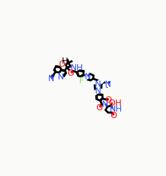 CN(C)C[C@H]1CN(c2ccc3c(c2)C(=O)N(C2CCC(=O)NC2O)C3=O)CCN1CC1CCN(c2ccc(C(=O)NC3C(C)(C)[C@@H]4Oc5ccc(C#N)c6nccc(c56)C34C)cc2F)CC1